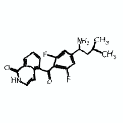 CC(C)CC(N)c1cc(F)c(C(=O)c2cccc3c(=O)[nH]ccc23)c(F)c1